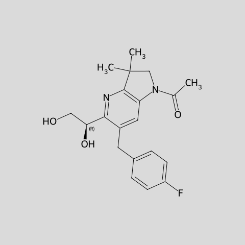 CC(=O)N1CC(C)(C)c2nc([C@@H](O)CO)c(Cc3ccc(F)cc3)cc21